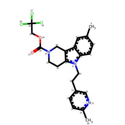 Cc1ccc2c(c1)c1c(n2CCc2ccc(C)nc2)CCN(C(=O)OCC(Cl)(Cl)Cl)C1